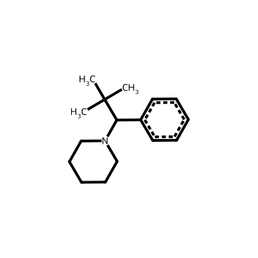 CC(C)(C)C(c1ccccc1)N1CCCCC1